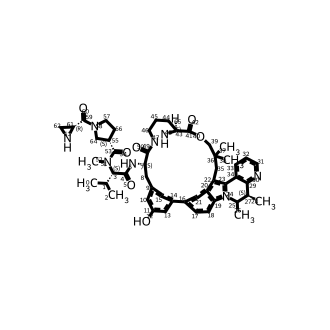 CC(C)[C@@H](C(=O)N[C@H]1Cc2cc(O)cc(c2)-c2ccc3c(c2)c(c2n3C(C)[C@H](C)c3ncccc3-2)CC(C)(C)COC(=O)[C@@H]2CCCN(N2)C1=O)N(C)C(=O)[C@H]1CCN(C(=O)[C@H]2CN2)C1